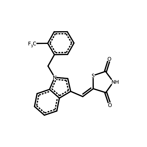 O=C1NC(=O)/C(=C/c2cn(Cc3ccccc3C(F)(F)F)c3ccccc23)S1